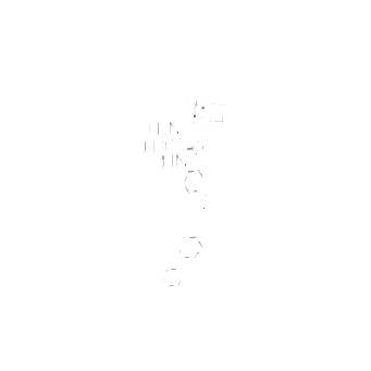 CC(N)(COP(=O)(O)O)C(=O)Nc1ccc(SCCc2ccc(-c3ccccc3)cc2)cc1